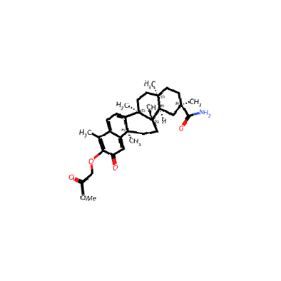 COC(=O)COC1=C(C)C2=CC=C3[C@@](C)(CC[C@@]4(C)[C@@H]5C[C@](C)(C(N)=O)CC[C@]5(C)CC[C@]34C)C2=CC1=O